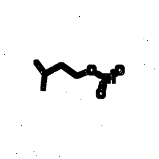 CC(C)CCO[SH](=O)=O